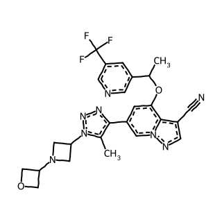 Cc1c(-c2cc(OC(C)c3cncc(C(F)(F)F)c3)c3c(C#N)cnn3c2)nnn1C1CN(C2COC2)C1